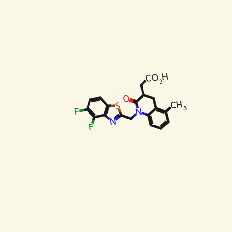 Cc1cccc2c1CC(CC(=O)O)C(=O)N2Cc1nc2c(F)c(F)ccc2s1